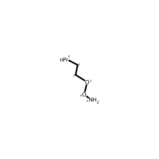 CCCCCOON